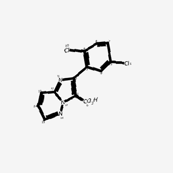 O=C(O)c1c(-c2cc(Cl)ccc2Cl)nc2cccnn12